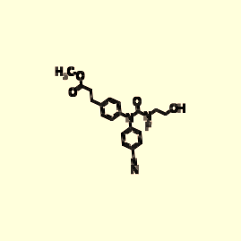 COC(=O)CCc1ccc(N(C(=O)N(F)CCO)c2ccc(C#N)cc2)cc1